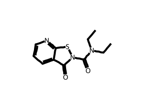 CCN(CC)C(=O)n1sc2ncccc2c1=O